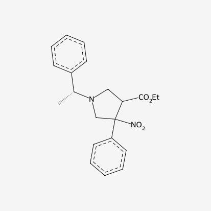 CCOC(=O)C1CN([C@H](C)c2ccccc2)CC1(c1ccccc1)[N+](=O)[O-]